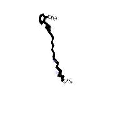 C=CC/C=C/C/C=C/CCCCCCCc1ccccc1O